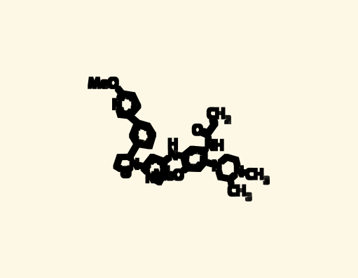 C=CC(=O)Nc1cc(Nc2cc(N3OCCC3c3cccc(-c4ccc(OC)nc4)c3)ncn2)c(OC)cc1N1CCN(C)C(C)C1